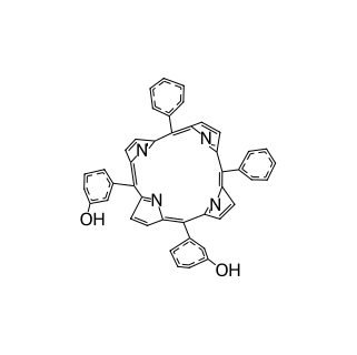 Oc1cccc(C2=C3C=CC(=N3)C(c3cccc(O)c3)=C3C=CC(=N3)C(c3ccccc3)=C3C=CC(=N3)C(c3ccccc3)=C3C=CC2=N3)c1